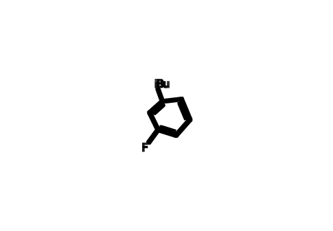 CCC(C)c1cccc(F)c1